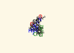 C=CC(=O)N1CCN(c2c(C#N)c(=O)n(-c3c(C)ccnc3C(C)C)c3nc(-c4c(N)c(Cl)c(Cl)c(F)c4F)c(Cl)cc23)C[C@H]1C